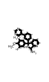 COc1c(C)cc(C2(c3cccc(-c4cncnc4)c3)NC(N)c3ncccc32)cc1F